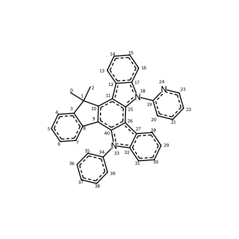 CC1(C)c2ccccc2-c2c1c1c3ccccc3n(-c3ccccn3)c1c1c3ccccc3n(-c3ccccc3)c21